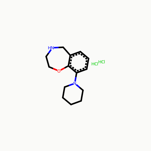 Cl.Cl.c1cc2c(c(N3CCCCC3)c1)OCCNC2